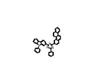 c1ccc(-c2nc(-c3ccc4ccc5c6ccccc6ccc5c4c3)nc(-c3ccc4c5ccccc5n(-c5ccccc5)c4c3)n2)cc1